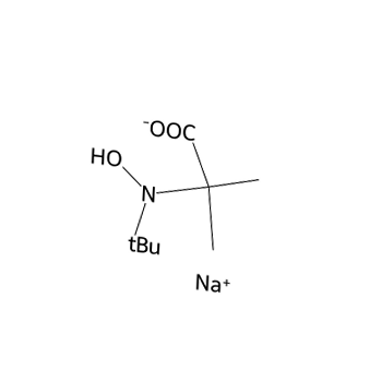 CC(C)(C)N(O)C(C)(C)C(=O)[O-].[Na+]